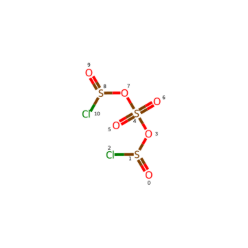 O=S(Cl)OS(=O)(=O)OS(=O)Cl